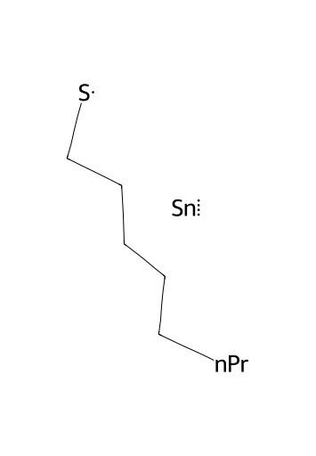 CCCCCCCC[S].[Sn]